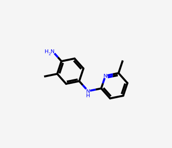 Cc1cccc(Nc2ccc(N)c(C)c2)n1